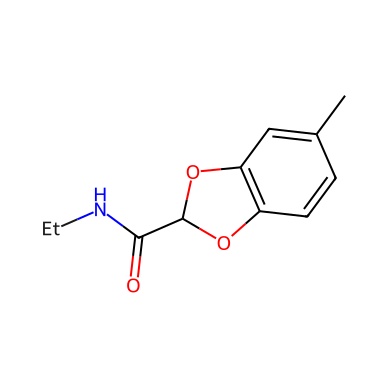 CCNC(=O)C1Oc2ccc(C)cc2O1